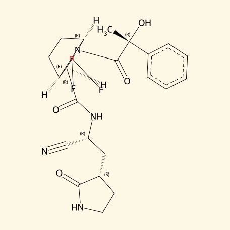 C[C@](O)(C(=O)N1[C@@H]2CC[C@H]([C@@H]1C(=O)N[C@@H](C#N)C[C@@H]1CCNC1=O)C(F)(F)C2)c1ccccc1